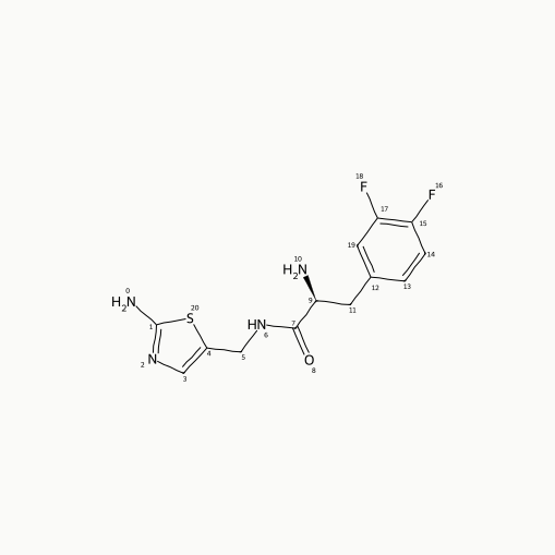 Nc1ncc(CNC(=O)[C@@H](N)Cc2ccc(F)c(F)c2)s1